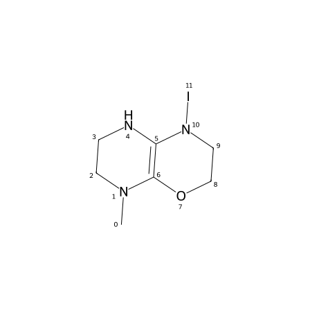 CN1CCNC2=C1OCCN2I